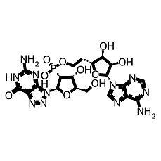 Nc1nc2c(nnn2[C@@H]2O[C@H](CO)[C@@H](O)[C@H]2P(=O)(O)OCC[C@H]2O[C@@H](n3cnc4c(N)ncnc43)[C@H](O)[C@@H]2O)c(=O)[nH]1